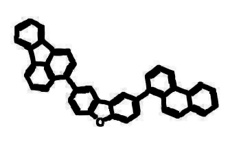 c1ccc2c(c1)-c1cccc3c(-c4ccc5oc6ccc(-c7cccc8c7ccc7ccccc78)cc6c5c4)ccc-2c13